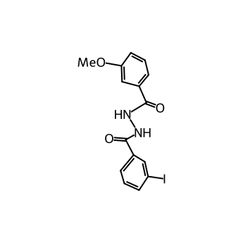 COc1cccc(C(=O)NNC(=O)c2cccc(I)c2)c1